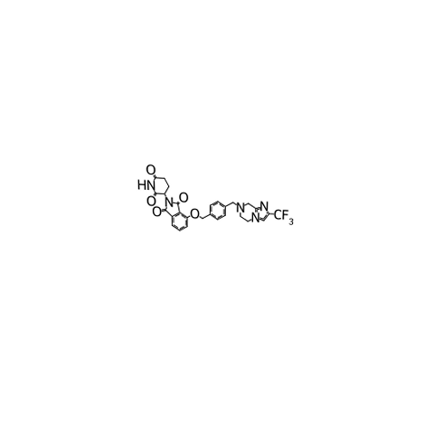 O=C1CCC(N2C(=O)c3cccc(OCc4ccc(CN5CCn6cc(C(F)(F)F)nc6C5)cc4)c3C2=O)C(=O)N1